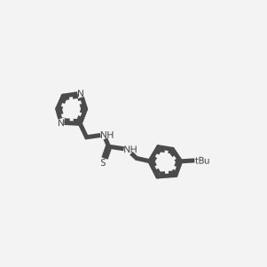 CC(C)(C)c1ccc(CNC(=S)NCc2cnccn2)cc1